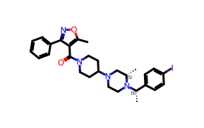 Cc1onc(-c2ccccc2)c1C(=O)N1CCC(N2CCN([C@@H](C)c3ccc(I)cc3)[C@@H](C)C2)CC1